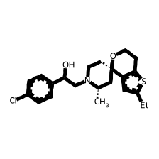 CCc1cc2c(s1)CCO[C@@]21CCN(CC(O)c2ccc(Cl)cc2)[C@@H](C)C1